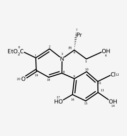 CCOC(=O)c1cn([C@@H](CO)C(C)C)c(-c2cc(Cl)c(O)cc2O)cc1=O